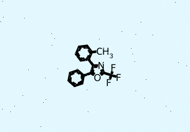 Cc1ccccc1-c1nc(C(F)(F)F)oc1-c1ccccc1